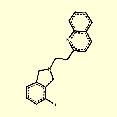 Brc1cccc2c1CN(CCc1ccc3ccccc3n1)C2